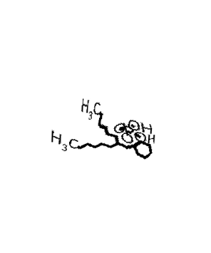 CCCCCCC(CCCCCC)CC1(OP(=O)(O)O)CCCCC1